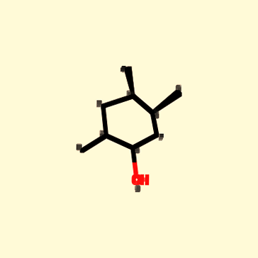 CC1C[C@@H](C)[C@@H](C)CC1O